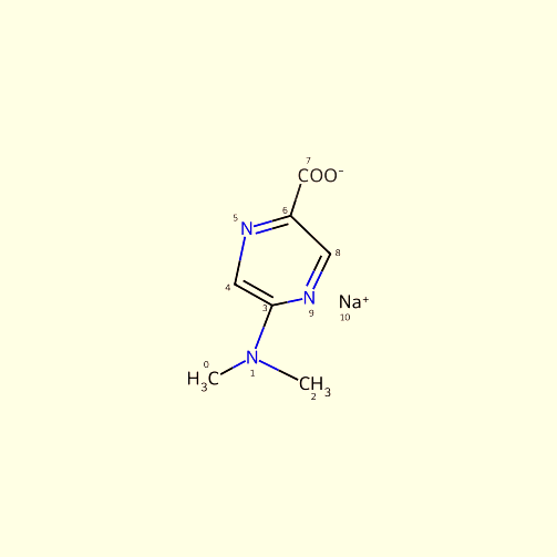 CN(C)c1cnc(C(=O)[O-])cn1.[Na+]